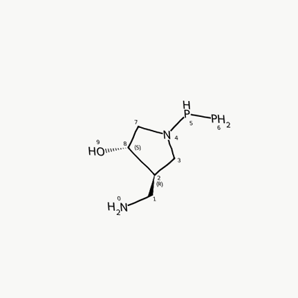 NC[C@@H]1CN(PP)C[C@H]1O